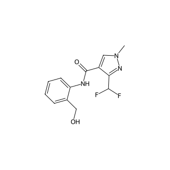 Cn1cc(C(=O)Nc2ccccc2CO)c(C(F)F)n1